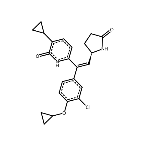 O=C1CC[C@H](/C=C(/c2ccc(OC3CC3)c(Cl)c2)c2ccc(C3CC3)c(=O)[nH]2)N1